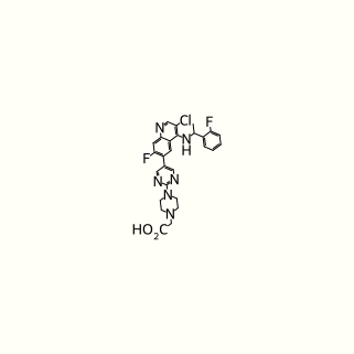 CC(Nc1c(Cl)cnc2cc(F)c(-c3cnc(N4CCN(CC(=O)O)CC4)nc3)cc12)c1ccccc1F